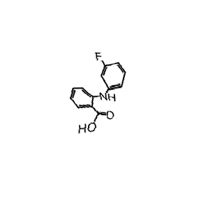 O=C(O)c1ccccc1Nc1cccc(F)c1